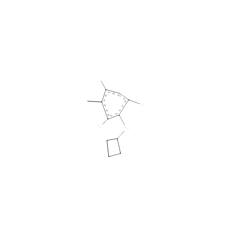 Cc1cc([N+](=O)[O-])c(NC2CCC2)c([N+](=O)[O-])c1C